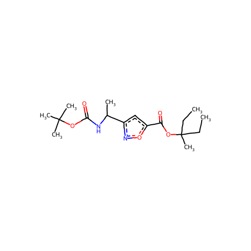 CCC(C)(CC)OC(=O)c1cc(C(C)NC(=O)OC(C)(C)C)no1